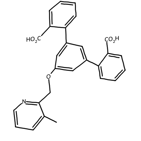 Cc1cccnc1COc1cc(-c2ccccc2C(=O)O)cc(-c2ccccc2C(=O)O)c1